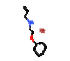 Br.C=CCNCCOc1ccccc1